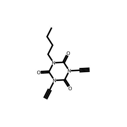 C#Cn1c(=O)n(C#C)c(=O)n(CCCC)c1=O